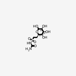 NC(=O)NS(=O)(=O)CC[C@H]1OC(O)[C@@H](O)[C@@H](O)[C@@H]1O